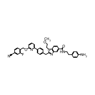 COCCn1c(Cc2ccc(-c3cccc(OCc4ccc(C#N)cc4F)n3)cc2)nc2cc(C(=O)NCCc3ccc(N)cc3)ccc21